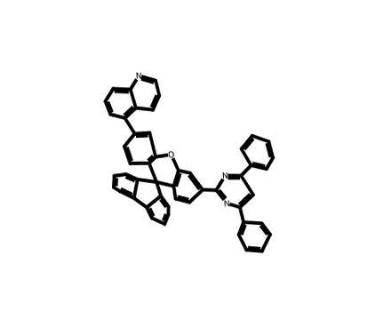 c1ccc(-c2cc(-c3ccccc3)nc(-c3ccc4c(c3)Oc3cc(-c5cccc6ncccc56)ccc3C43c4ccccc4-c4ccccc43)n2)cc1